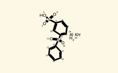 O=S(=O)(O)c1cccc(S(=O)(=O)c2ccccc2)c1.[AlH3].[KH]